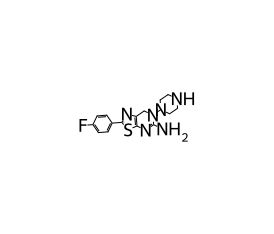 NC1=Nc2sc(-c3ccc(F)cc3)nc2CN1N1CCNCC1